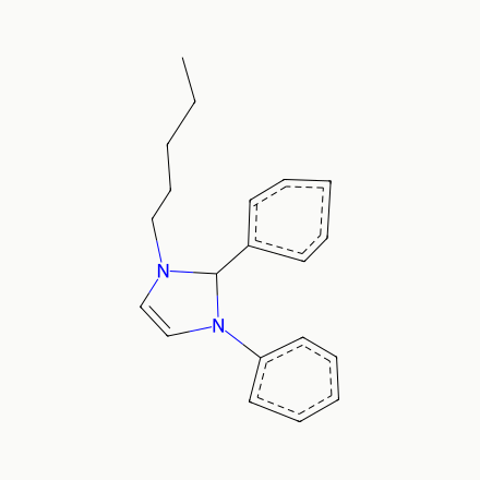 CCCCCN1C=CN(c2ccccc2)C1c1ccccc1